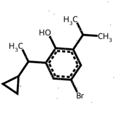 CC(C)c1cc(Br)cc(C(C)C2CC2)c1O